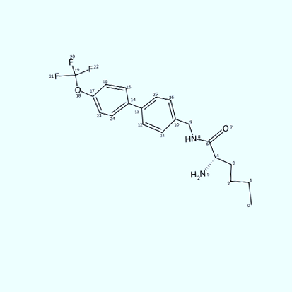 CCCC[C@H](N)C(=O)NCc1ccc(-c2ccc(OC(F)(F)F)cc2)cc1